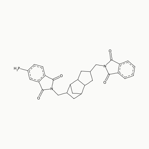 O=C1c2ccccc2C(=O)N1CC1CC2C3CC(CN4C(=O)c5ccc(P)cc5C4=O)C(C3)C2C1